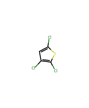 Clc1cc(Cl)c(Cl)s1